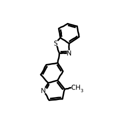 Cc1ccnc2ccc(-c3nc4ccccc4s3)cc12